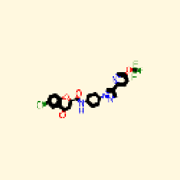 O=C1C[C@H](C(=O)N[C@H]2CC[C@H](n3cc(-c4ccc(OC(F)(F)F)cn4)cn3)CC2)Oc2ccc(Cl)cc21